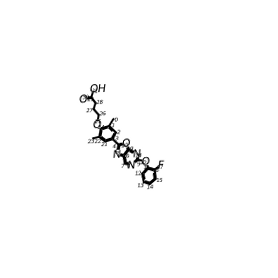 Cc1cc(-c2nc3cnc(Oc4ccccc4F)nc3o2)cc(C)c1OCCCC(=O)O